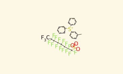 Cc1cccc([S+](c2ccccc2)c2ccccc2)c1.O=S(=O)([O-])C(F)(F)C(F)(F)C(F)(F)C(F)(F)C(F)(F)C(F)(F)C(F)(F)C(F)(F)F